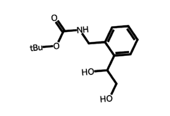 CC(C)(C)OC(=O)NCc1ccccc1C(O)CO